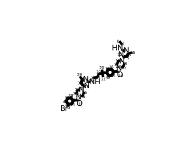 CCNc1nc(C)cc(N2CCN(C(=O)c3ccc(C(C)(C)CCCNc4nc(C)cc(N5CCN(C(=O)c6cccc(Br)c6)CC5)n4)cc3)CC2)n1